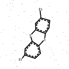 CCc1ccc2c(c1)Sc1cc(CC)ccc1S2